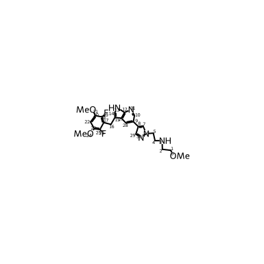 COCCNCCn1cc(-c2cnc3[nH]cc(Cc4c(F)c(OC)cc(OC)c4F)c3c2)cn1